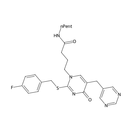 CCCCCNC(=O)CCCn1cc(Cc2cncnc2)c(=O)nc1SCc1ccc(F)cc1